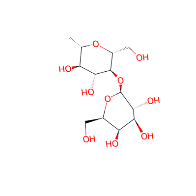 C[C@@H]1O[C@H](CO)[C@@H](O[C@@H]2O[C@H](CO)[C@H](O)[C@H](O)[C@H]2O)[C@H](O)[C@H]1O